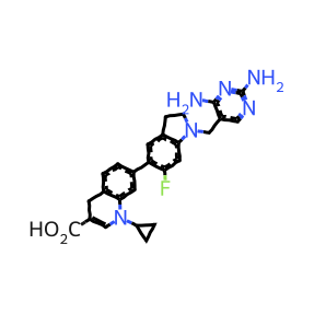 Nc1ncc(CN2CCc3cc(-c4ccc5c(c4)N(C4CC4)C=C(C(=O)O)C5)c(F)cc32)c(N)n1